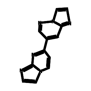 [c]1c(-c2ccn3ccnc3n2)cnn2ccnc12